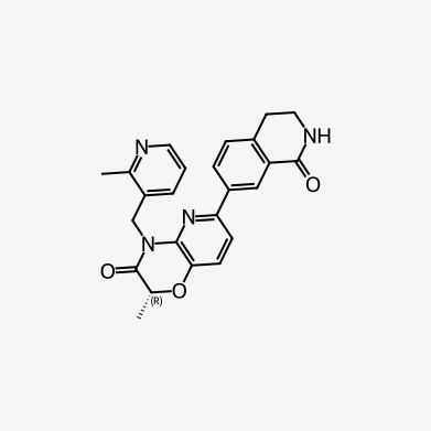 Cc1ncccc1CN1C(=O)[C@@H](C)Oc2ccc(-c3ccc4c(c3)C(=O)NCC4)nc21